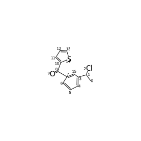 CC(Cl)c1cccc(C(=O)c2cccs2)c1